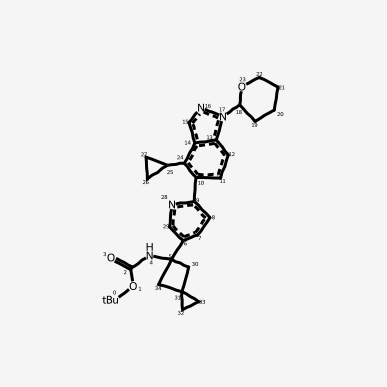 CC(C)(C)OC(=O)NC1(c2ccc(-c3ccc4c(cnn4C4CCCCO4)c3C3CC3)nc2)CC2(CC2)C1